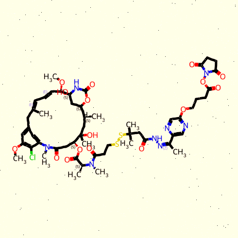 COc1cc2cc(c1Cl)N(C)C(=O)C[C@H](OC(=O)[C@H](C)N(C)C(=O)CCSSC(C)(C)CC(=O)N/N=C(/C)c1cnc(OCCCC(=O)ON3C(=O)CCC3=O)cn1)C(C)(O)C[C@H](C)[C@@H]1C[C@@](O)(NC(=O)O1)[C@H](OC)/C=C/C=C(\C)C2